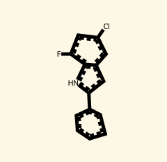 Fc1cc(Cl)cc2cc(-c3ccccc3)[nH]c12